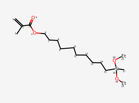 C=C(C)C(=O)OCCCCCCCCCC[Si](C)(OCC)OCC